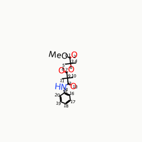 COC(=O)C(C)(C)OC(=O)C(C)(C)C(=O)Nc1ccccc1